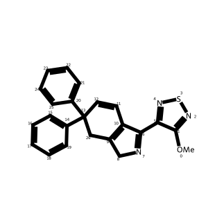 COc1nsnc1C1=NCC2=C1C=CC(c1ccccc1)(c1ccccc1)C2